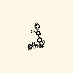 CC1(C)COc2cc(-c3ccc(N4CCOCC4)c(Cl)c3)ccc2C1NC(=O)O[C@H]1CN2CCC1CC2